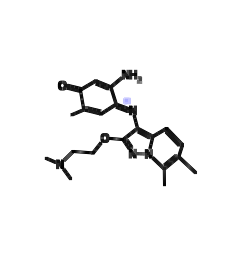 CC1=C/C(=N\c2c(OCCN(C)C)nn3c(C)c(C)ccc23)C(N)=CC1=O